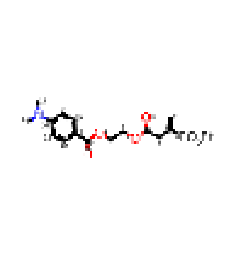 C=C(CC(=O)OCCOC(=O)c1ccc(N(C)C)cc1)C(=O)OCC